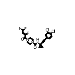 O=C(NC1(C#Cc2ccc(Cl)c(Cl)c2)CC1)N1CCN(C(=O)C(F)=CC(F)F)CC1